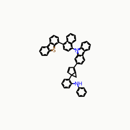 C1=CC2(c3ccccc3Nc3ccccc3)CC2=C1c1ccc2c3ccccc3n(-c3ccc(-c4cccc5c4sc4ccccc45)c4ccccc34)c2c1